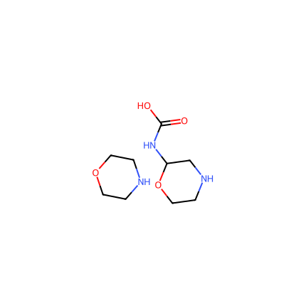 C1COCCN1.O=C(O)NC1CNCCO1